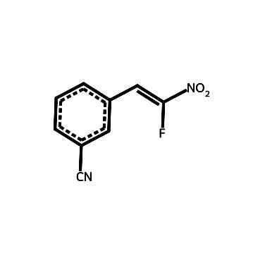 N#Cc1cccc(C=C(F)[N+](=O)[O-])c1